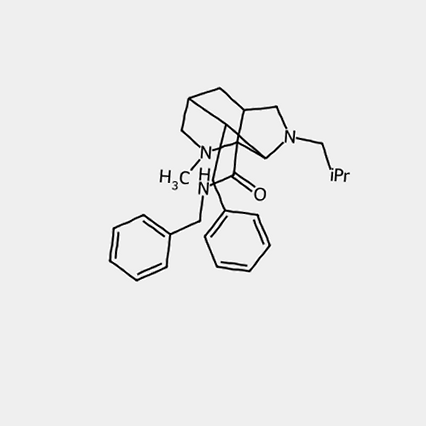 CC(C)CN1CC2CC3CN(C)C2(C(=O)NCc2ccccc2)C1C3Cc1ccccc1